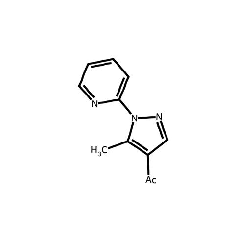 CC(=O)c1cnn(-c2ccccn2)c1C